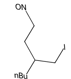 CCCCC(CI)CCN=O